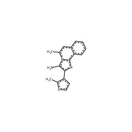 Cc1occc1-c1nc2c3ccccc3cc(C)n2c1N